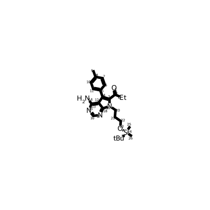 CCC(=O)c1c(-c2ccc(C)cc2)c2c(N)ncnc2n1CCCO[Si](C)(C)C(C)(C)C